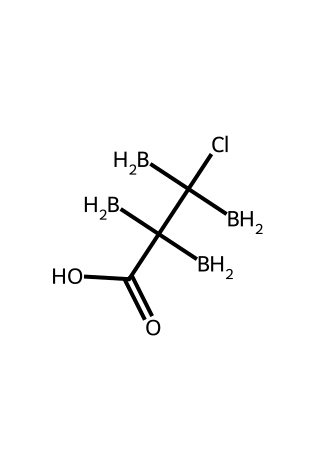 BC(B)(Cl)C(B)(B)C(=O)O